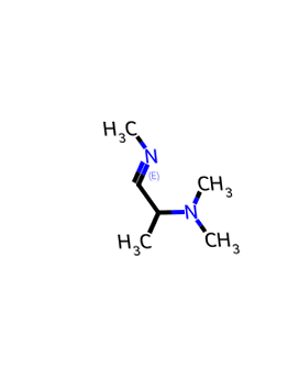 C/N=C/C(C)N(C)C